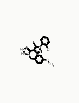 COc1ccc(CN2NNN=C2c2cnn(-c3ccccc3Cl)c2I)cc1